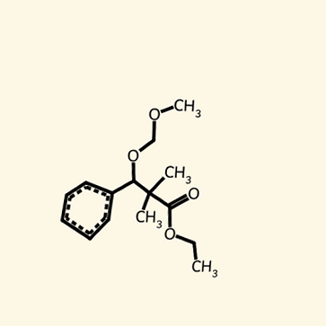 CCOC(=O)C(C)(C)C(OCOC)c1ccccc1